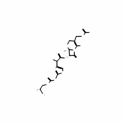 NC(=O)OCC1=C(C(=O)O)N2C(=O)[C@@H](NC(=O)C(c3csc(NC(=O)OC[C@@H](N)C(=O)O)n3)S(=O)(=O)O)[C@@H]2SC1